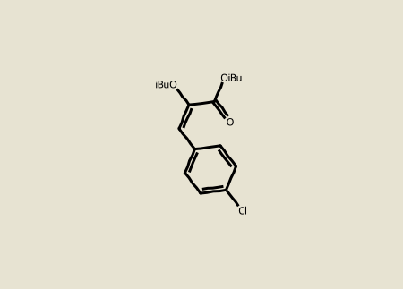 CC(C)COC(=O)C(=Cc1ccc(Cl)cc1)OCC(C)C